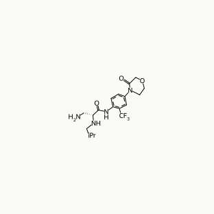 CC(C)CN[C@H](CN)C(=O)Nc1ccc(N2CCOCC2=O)cc1C(F)(F)F